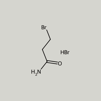 Br.NC(=O)CCBr